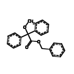 COC(C(=O)OCc1ccccc1)(c1ccccc1)c1ccccc1